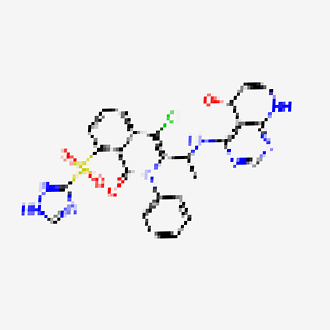 C[C@H](Nc1ncnc2[nH]ccc(=O)c12)c1c(Cl)c2cccc(S(=O)(=O)c3nc[nH]n3)c2c(=O)n1-c1ccccc1